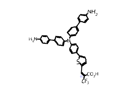 Nc1ccc(-c2ccc(N(c3ccc(-c4ccc(N)cc4)cc3)c3ccc(-c4ccc(/C=C(\C(=O)O)C(F)(F)F)s4)cc3)cc2)cc1